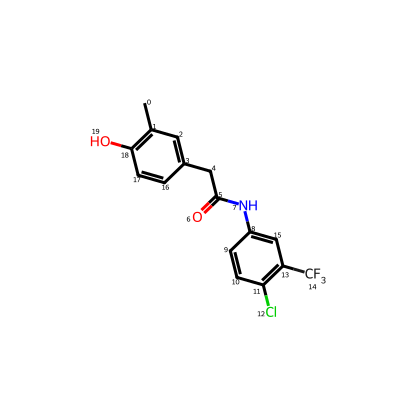 Cc1cc(CC(=O)Nc2ccc(Cl)c(C(F)(F)F)c2)ccc1O